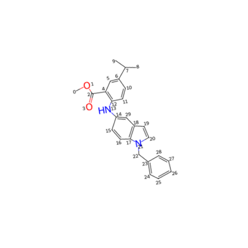 COC(=O)c1cc(C(C)C)ccc1Nc1ccc2c(ccn2Cc2ccccc2)c1